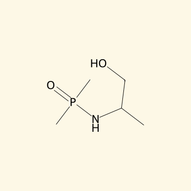 CC(CO)NP(C)(C)=O